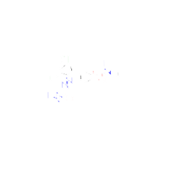 CCNC(=O)Oc1ccc(C2C(C)C(C(=O)NN3CCCCC3)=NN2c2ccc(Cl)cc2Cl)cc1